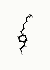 CCCCCCc1ccc(/C=C/Cl)cc1